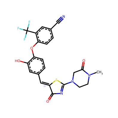 CN1CCN(C2=NC(=O)/C(=C/c3ccc(Oc4ccc(C#N)cc4C(F)(F)F)c(O)c3)S2)CC1=O